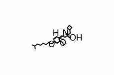 COc1cc(OCCCCCC(C)C)ccc1CC[C@@](N)(CO)CC1CCC1